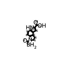 BC(=O)N1CCc2c1ccc1[nH]c(C(=O)O)cc21